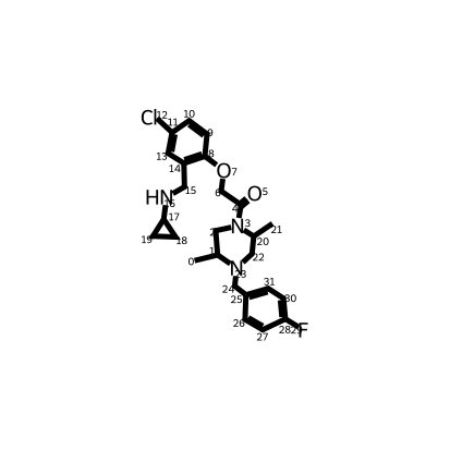 CC1CN(C(=O)COc2ccc(Cl)cc2CNC2CC2)C(C)CN1Cc1ccc(F)cc1